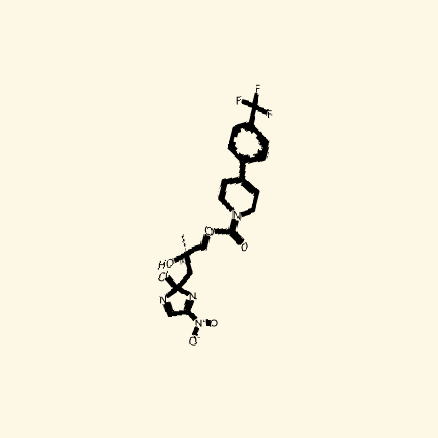 C[C@](O)(COC(=O)N1CC=C(c2ccc(C(F)(F)F)cc2)CC1)CC1(Cl)N=CC([N+](=O)[O-])=N1